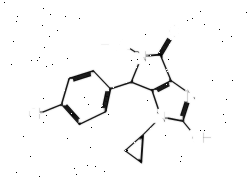 Cc1nc2c(n1C1CC1)C(c1ccc(Cl)cc1)N(C)C2=O